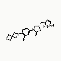 O=C1O[C@@H](CN2C=CNN2)CN1c1ccc(N2CC3(CSC3)C2)c(F)c1